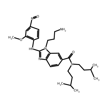 COc1cc(N=O)ccc1Nc1nc2ccc(C(=O)N(CCC(C)C)CCC(C)C)cc2n1CCCN